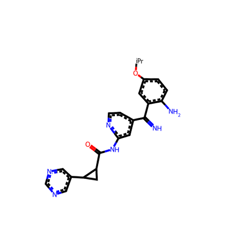 CC(C)Oc1ccc(N)c(C(=N)c2ccnc(NC(=O)C3CC3c3cncnc3)c2)c1